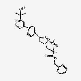 CC(C)(O)c1cc(-c2ccc(C3=NO[C@@H](C[C@](C)(C(=O)OCc4ccccc4)S(C)(=O)=O)C3)cc2)ccn1